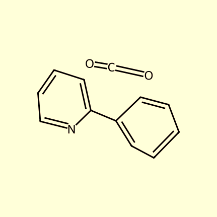 O=C=O.c1ccc(-c2ccccn2)cc1